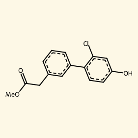 COC(=O)Cc1cccc(-c2ccc(O)cc2Cl)c1